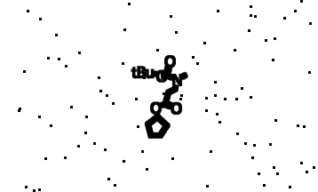 CN(CCC(=O)OC1CCCC1)C(=O)OC(C)(C)C